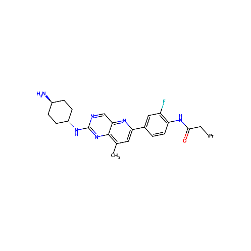 Cc1cc(-c2ccc(NC(=O)CC(C)C)c(F)c2)nc2cnc(N[C@H]3CC[C@H](N)CC3)nc12